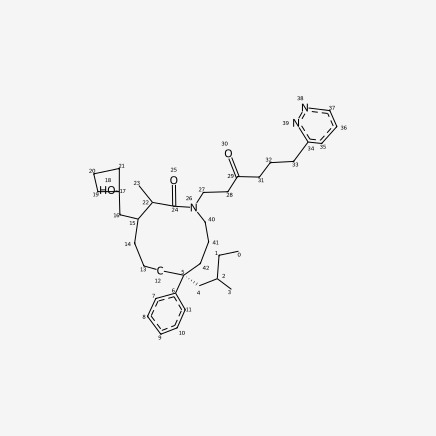 CCC(C)C[C@]1(c2ccccc2)CCCC(CC2(O)CCC2)C(C)C(=O)N(CCC(=O)CCCc2cccnn2)CCC1